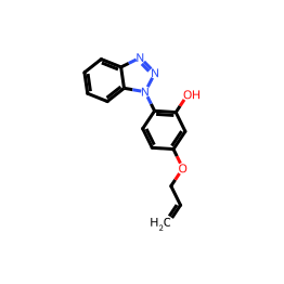 C=CCOc1ccc(-n2nnc3ccccc32)c(O)c1